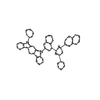 c1ccc(-c2cc(-c3ccc4ccccc4c3)nc(-c3cc(-n4c5ccccc5c5cc6c7ccccc7n(-c7ccccc7)c6cc54)cc4ccccc34)n2)cc1